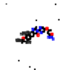 CCCCc1nc(C)n(-c2ncc(OC(C)CC(N)=O)cn2)c(=O)c1Cc1cc(CCC)c(O[Si](C)(C)C(C)(C)C)c(CCC)c1